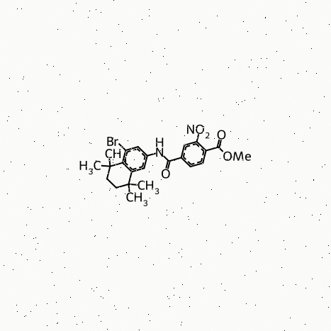 COC(=O)c1ccc(C(=O)Nc2cc(Br)c3c(c2)C(C)(C)CCC3(C)C)cc1[N+](=O)[O-]